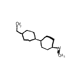 C=NC1CCC(C2CCC(CC)CC2)CC1